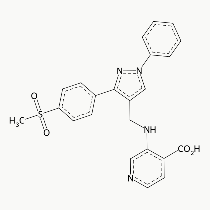 CS(=O)(=O)c1ccc(-c2nn(-c3ccccc3)cc2CNc2cnccc2C(=O)O)cc1